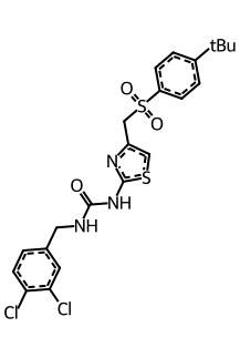 CC(C)(C)c1ccc(S(=O)(=O)Cc2csc(NC(=O)NCc3ccc(Cl)c(Cl)c3)n2)cc1